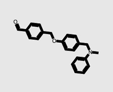 CN(Cc1ccc(OCc2ccc(C=O)cc2)cc1)c1ccccc1